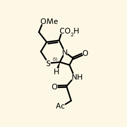 COCC1=C(C(=O)O)N2C(=O)C(NC(=O)CC(C)=O)[C@@H]2SC1